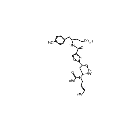 CCC/C=C/CN(C(=O)CCCC)C(CC(OCC)c1nc(C(=O)NC(CCC(=O)O)Cc2ccc(O)cc2)cs1)C(C)C